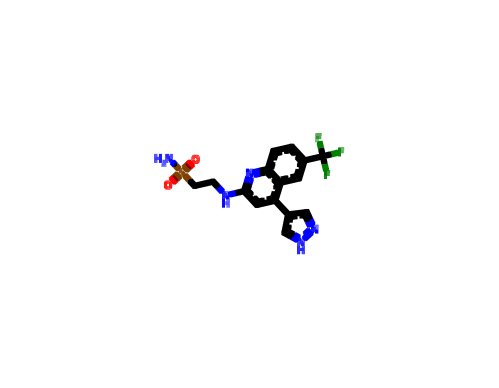 NS(=O)(=O)CCNc1cc(-c2cn[nH]c2)c2cc(C(F)(F)F)ccc2n1